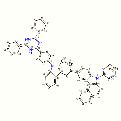 C/C=C(\C=C/CC)n1c2ccc(C(CC)Cc3c(C)n(-c4ccc(C5N=C(c6ccccc6)NC(c6ccccc6)N5)cc4)c4ccccc34)cc2c2c3ccccc3ccc21